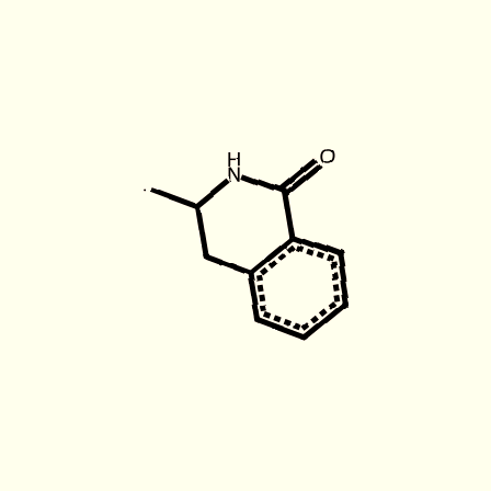 [CH2]C1Cc2ccccc2C(=O)N1